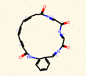 O=C1/C=N/C(=O)/C=N/C(=O)C\C=C/C=C\C=C\C(=O)Nc2ccccc2/C=N\1